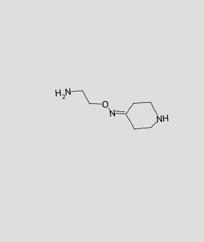 NCCON=C1CCNCC1